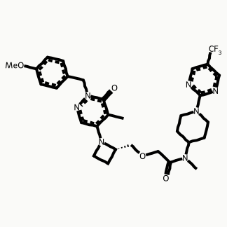 COc1ccc(Cn2ncc(N3CC[C@H]3COCC(=O)N(C)C3CCN(c4ncc(C(F)(F)F)cn4)CC3)c(C)c2=O)cc1